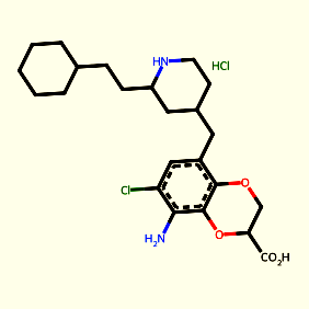 Cl.Nc1c(Cl)cc(CC2CCNC(CCC3CCCCC3)C2)c2c1OC(C(=O)O)CO2